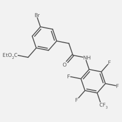 CCOC(=O)Cc1cc(Br)cc(CC(=O)Nc2c(F)c(F)c(C(F)(F)F)c(F)c2F)c1